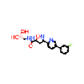 O=C(NCB(O)O)C1CC(c2ccc(-c3cccc(F)c3)cn2)=NO1